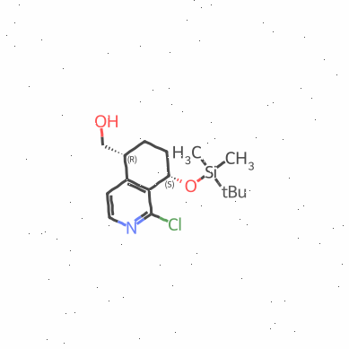 CC(C)(C)[Si](C)(C)O[C@H]1CC[C@@H](CO)c2ccnc(Cl)c21